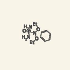 CCON(OCC)P(N)(N)=O.c1ccccc1